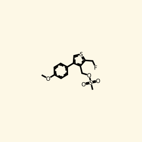 COc1ccc(-c2csc(CF)c2COS(C)(=O)=O)cc1